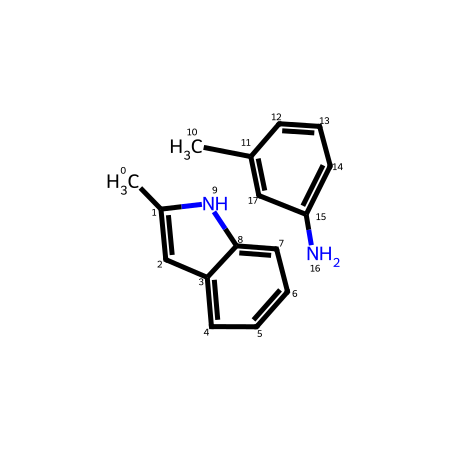 Cc1cc2ccccc2[nH]1.Cc1cccc(N)c1